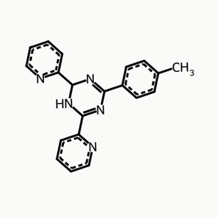 Cc1ccc(C2=NC(c3ccccn3)NC(c3ccccn3)=N2)cc1